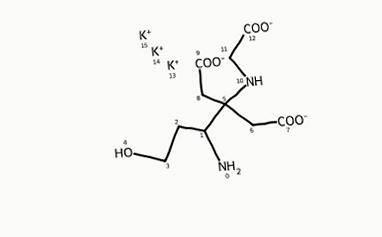 NC(CCO)C(CC(=O)[O-])(CC(=O)[O-])NCC(=O)[O-].[K+].[K+].[K+]